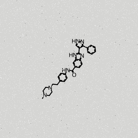 CN1CCN(CCc2ccc(NC(=O)c3ccc4nc(-c5c[nH]nc5-c5ccccc5)[nH]c4c3)cc2)CC1